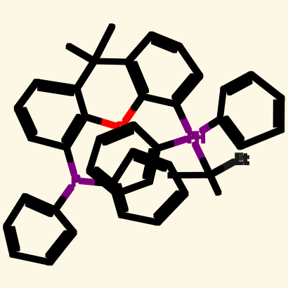 CCC(C)(C)[PH](c1ccccc1)(c1ccccc1)c1cccc2c1Oc1c(P(c3ccccc3)c3ccccc3)cccc1C2(C)C